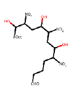 CCCCCCCCC(O)C(CC(O)C(CC(O)C(CCC[C]=O)[N+](=O)[O-])[N+](=O)[O-])[N+](=O)[O-]